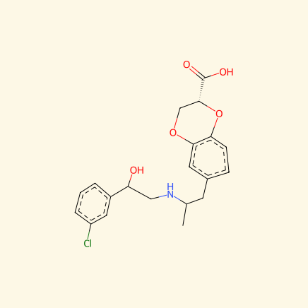 CC(Cc1ccc2c(c1)OC[C@H](C(=O)O)O2)NCC(O)c1cccc(Cl)c1